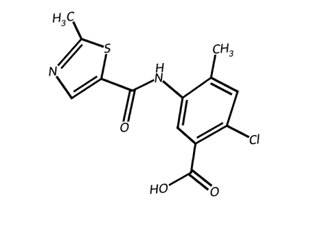 Cc1ncc(C(=O)Nc2cc(C(=O)O)c(Cl)cc2C)s1